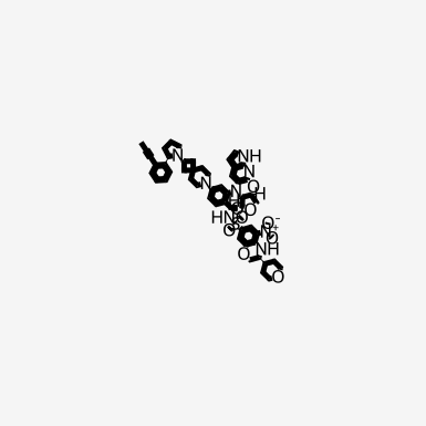 CC#Cc1ccccc1[C@@H]1CCCN1C1CC2(CCN(c3ccc(C(=O)NS(=O)(=O)c4cc5c(c([N+](=O)[O-])c4)N[C@H](C4CCOCC4)CO5)c(N4c5cc6cc[nH]c6nc5O[C@H]5COC[C@H]54)c3)CC2)C1